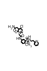 Cc1ccc(NC(=O)Cn2ncc(Cl)c(CC(N)=O)c2=O)cc1S(=O)(=O)NCCc1ccccn1